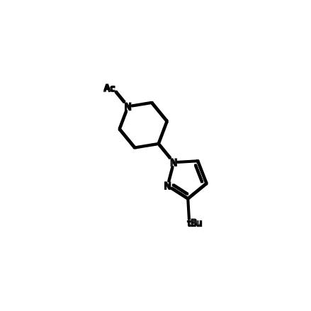 CC(=O)N1CCC(n2ccc(C(C)(C)C)n2)CC1